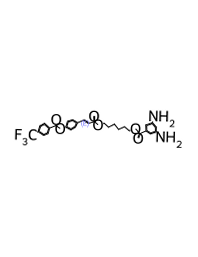 Nc1cc(N)cc(C(=O)OCCCCCCOC(=O)/C=C/c2ccc(OC(=O)c3ccc(C(F)(F)F)cc3)cc2)c1